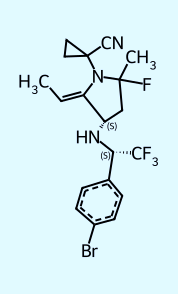 CC=C1[C@@H](N[C@@H](c2ccc(Br)cc2)C(F)(F)F)CC(C)(F)N1C1(C#N)CC1